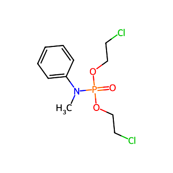 CN(c1ccccc1)P(=O)(OCCCl)OCCCl